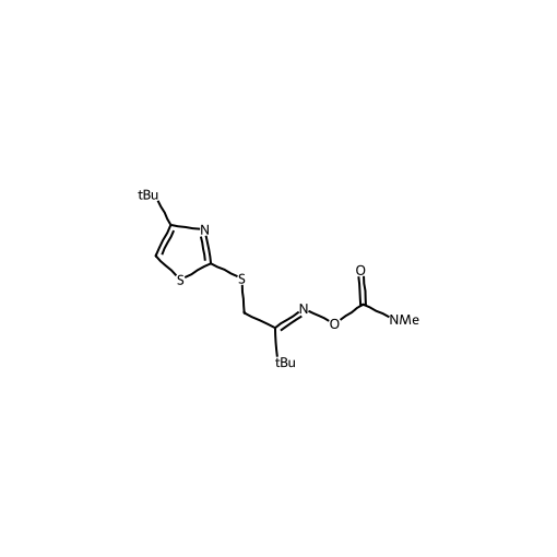 CNC(=O)ON=C(CSc1nc(C(C)(C)C)cs1)C(C)(C)C